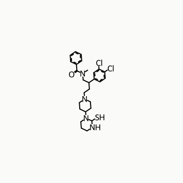 CN(CC(CCN1CCC(N2CCCNC2S)CC1)c1ccc(Cl)c(Cl)c1)C(=O)c1ccccc1